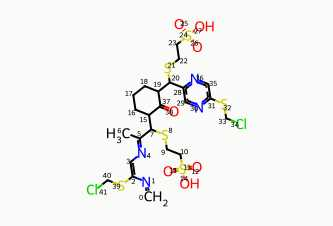 C=N/C(=C\N=C(/C)C(SCCS(=O)(=O)O)C1CCCC(C(SCCS(=O)(=O)O)c2cnc(SCCl)cn2)C1=O)SCCl